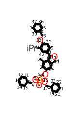 Cc1cc(OCP(=O)(OCc2ccccc2)OCc2ccccc2)cc2c1C(c1ccc(OCc3ccccc3)c(C(C)C)c1)OC2